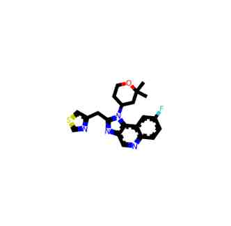 CC1(C)CC(n2c(Cc3cscn3)nc3cnc4ccc(F)cc4c32)CCO1